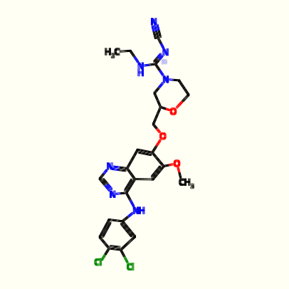 CCN/C(=N\C#N)N1CCOC(COc2cc3ncnc(Nc4ccc(Cl)c(Cl)c4)c3cc2OC)C1